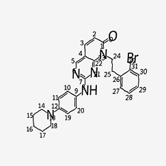 O=c1ccc2cnc(Nc3ccc(N4CCCCC4)cc3)nc2n1CCc1ccccc1Br